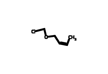 C/C=C\COCCl